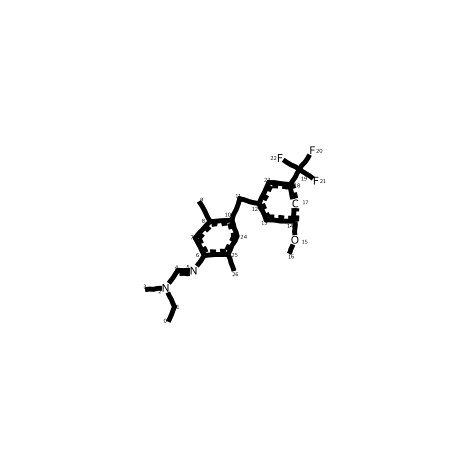 CCN(C)C=Nc1cc(C)c(Cc2cc(OC)cc(C(F)(F)F)c2)cc1C